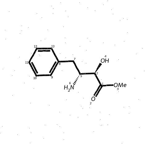 COC(=O)[C@H](O)[C@H](N)Cc1ccccc1